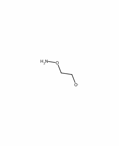 NOCC[O]